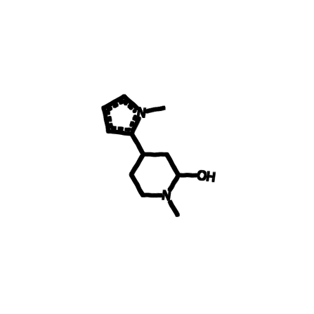 CN1CCC(c2cccn2C)CC1O